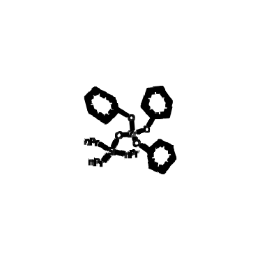 CCC[Si](CCC)(CCC)[O][Zr]([O]c1ccccc1)([O]c1ccccc1)[O]c1ccccc1